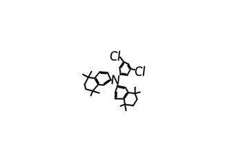 CC1(C)CCC(C)(C)c2cc(N(c3cc(Cl)cc(Cl)c3)c3ccc4c(c3)C(C)(C)CCC4(C)C)ccc21